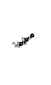 CN1C=C(NC(=O)c2ccc(COc3ccccc3)cn2)C=CC1O